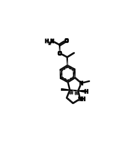 CC(OC(N)=O)c1ccc2c(c1)N(C)[C@@H]1NCC[C@]21C